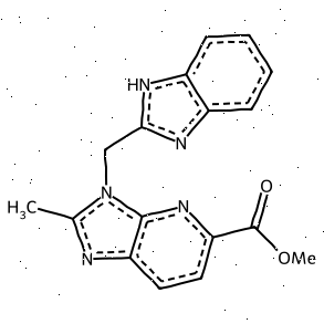 COC(=O)c1ccc2nc(C)n(Cc3nc4ccccc4[nH]3)c2n1